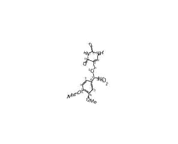 COc1ccc(C(OCc2c[nH]c(=O)[nH]c2=O)[N+](=O)[O-])cc1OC